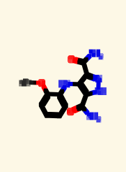 CCCOc1ccccc1Nc1c(C(N)=O)n[nH]c1C(N)=O